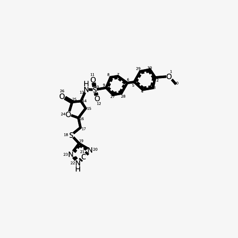 COc1ccc(-c2ccc(S(=O)(=O)NC3CC(CSc4nc[nH]n4)OC3=O)cc2)cc1